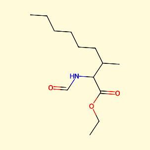 CCCCCCC(C)C(NC=O)C(=O)OCC